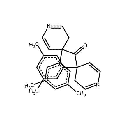 Cc1cc(C)cc(C2(C(=O)C3(c4cc(C)cc(C)c4)C=CN=CC3)C=CN=CC2)c1